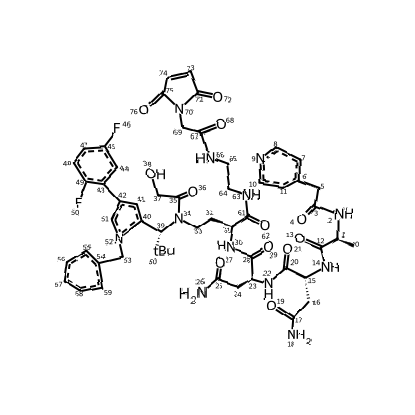 C[C@H](NC(=O)Cc1ccncc1)C(=O)N[C@H](CC(N)=O)C(=O)N[C@@H](CC(N)=O)C(=O)N[C@@H](CCN(C(=O)CO)[C@@H](c1cc(-c2cc(F)ccc2F)cn1Cc1ccccc1)C(C)(C)C)C(=O)NCCNC(=O)CN1C(=O)C=CC1=O